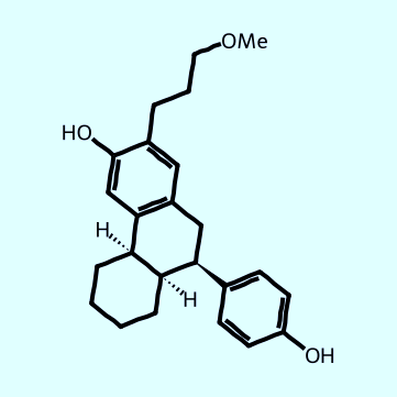 COCCCc1cc2c(cc1O)[C@@H]1CCCC[C@@H]1[C@H](c1ccc(O)cc1)C2